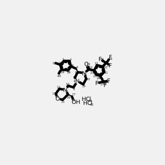 Cc1ccc(C[C@@H]2CN(CCN3CCOC[C@@H]3CO)CCN2C(=O)c2cc(C(F)(F)F)cc(C(F)(F)F)c2)cc1C.Cl.Cl